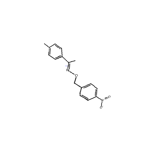 C/C(=N\OCc1ccc([N+](=O)[O-])cc1)c1ccc(C)cc1